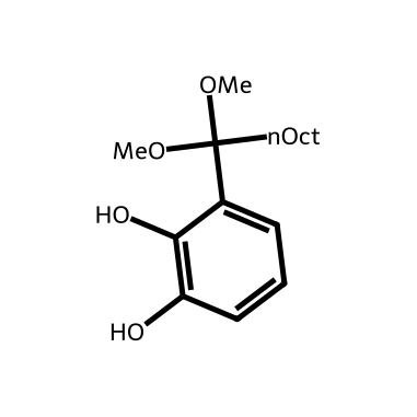 CCCCCCCCC(OC)(OC)c1cccc(O)c1O